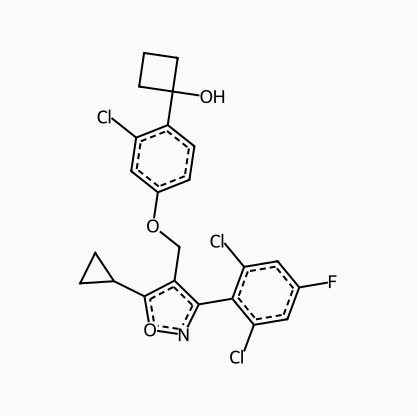 OC1(c2ccc(OCc3c(-c4c(Cl)cc(F)cc4Cl)noc3C3CC3)cc2Cl)CCC1